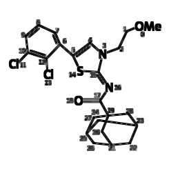 COCCn1cc(-c2cccc(Cl)c2Cl)s/c1=N\C(=O)C12CC3CC(CC(C3)C1)C2